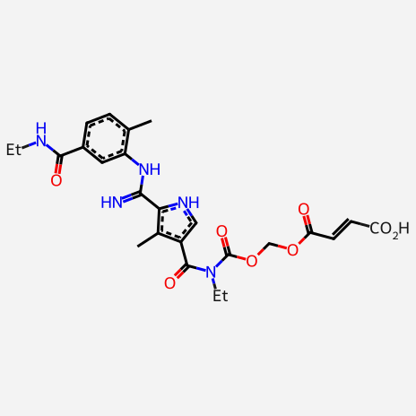 CCNC(=O)c1ccc(C)c(NC(=N)c2[nH]cc(C(=O)N(CC)C(=O)OCOC(=O)/C=C/C(=O)O)c2C)c1